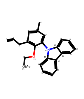 C=CCc1cc(C)cc(-n2c3ccccc3c3ccccc32)c1OCOC